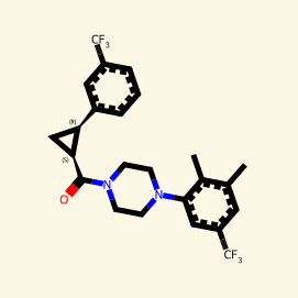 Cc1cc(C(F)(F)F)cc(N2CCN(C(=O)[C@H]3C[C@H]3c3cccc(C(F)(F)F)c3)CC2)c1C